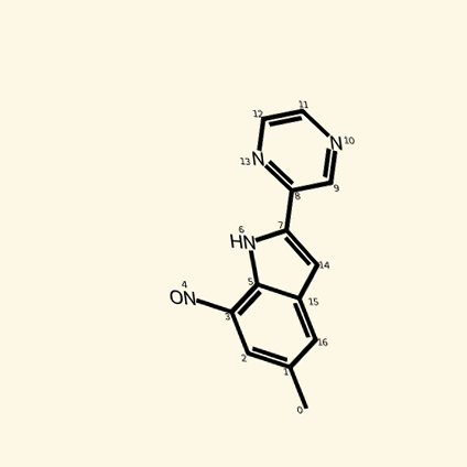 Cc1cc(N=O)c2[nH]c(-c3cnccn3)cc2c1